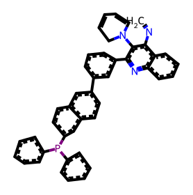 C=Nc1c(N2C=CC=CC2)c(-c2cccc(-c3ccc4cc(P(c5ccccc5)c5ccccc5)ccc4c3)c2)nc2ccccc12